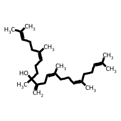 C=C(CC=C(C)CCC=C(C)CCC=C(C)C)C(C)(O)CCC=C(C)CCC=C(C)C